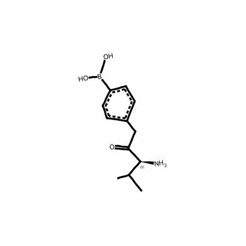 CC(C)[C@H](N)C(=O)Cc1ccc(B(O)O)cc1